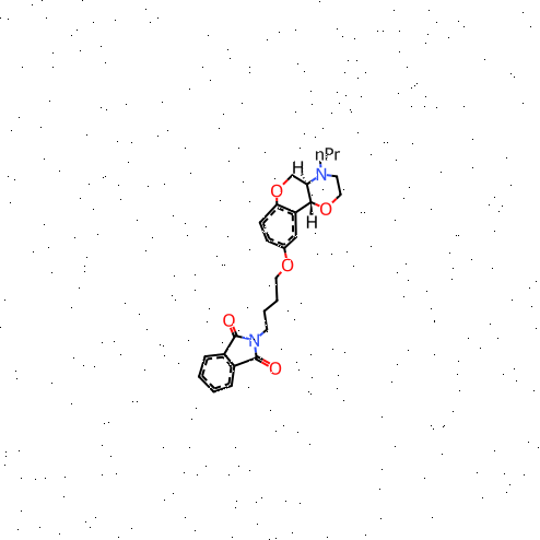 CCCN1CCO[C@@H]2c3cc(OCCCCN4C(=O)c5ccccc5C4=O)ccc3OC[C@H]21